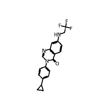 O=c1c2ccc(NCC(F)(F)F)cc2ncn1-c1ccc(C2CC2)cc1